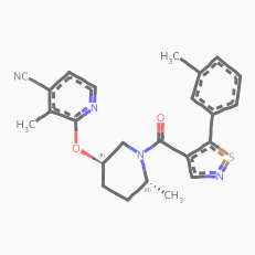 Cc1cccc(-c2sncc2C(=O)N2C[C@H](Oc3nccc(C#N)c3C)CC[C@H]2C)c1